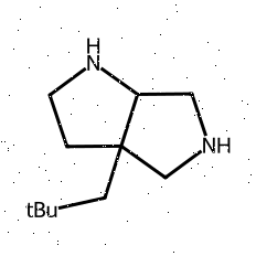 CC(C)(C)CC12CCNC1CNC2